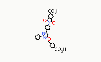 O=C(O)c1ccc(COc2cc(-c3ccc(N4C(=O)c5ccc(C(=O)O)cc5C4=O)cc3)nc(-c3ccccc3)n2)cc1